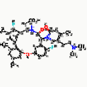 Cc1cc(C)c2c(c1)Oc1ccc(F)c(c1)[C@H](n1cc(CCN(C)C)c(C(F)(F)F)cc1=O)C(=O)N[C@@H](CC(=O)O)c1cc-2cc(C)c1F